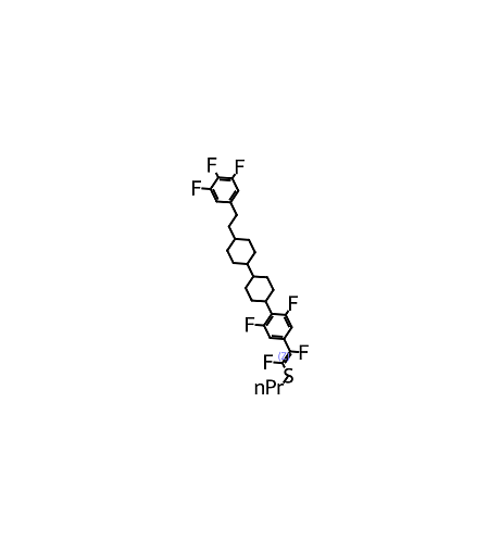 CCCS/C(F)=C(\F)c1cc(F)c(C2CCC(C3CCC(CCc4cc(F)c(F)c(F)c4)CC3)CC2)c(F)c1